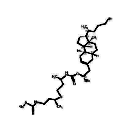 CCCC[C@@H](CC1=CC[C@@H]2[C@H](CC[C@]3(C)[C@@H]([C@H](C)CCCC(C)C)CC[C@@H]23)C1)OC(=O)NC(C)CCOC(C)CCNC(=O)OC(C)(C)C